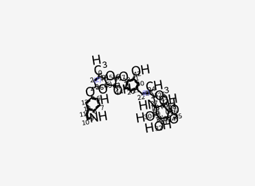 C/C(=C/COc1ccc2[nH]ccc2c1)[C@H]1O[C@@H](Oc2ccc(/C=C(\C)C(=O)N[C@@H]3[C@H](O)[C@@H](O)[C@H]4OCO[C@H]4[C@@H]3O)cc2O)[C@@H](O)[C@@H]1O